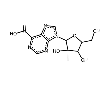 C[C@@]1(O)C(O)C(CO)OC1n1cnc2c(NO)ncnc21